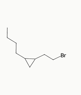 CCCCC1CC1CCBr